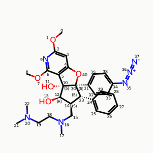 COc1cc2c(c(OC)n1)[C@]1(O)[C@H](O)[C@H](CN(C)CCN(C)C)[C@@H](c3ccccc3)[C@]1(c1ccc(N=[N+]=[N-])cc1)O2